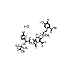 CC(C)(ON=C(C(=O)N[C@@H]1C(=O)N2C(C(=O)[O-])=C(C[N+](C)(C)CCn3cc(O)c(=O)cc3C(=O)O)CS[C@@H]12)c1nsc(N)n1)C(=O)O.Cl